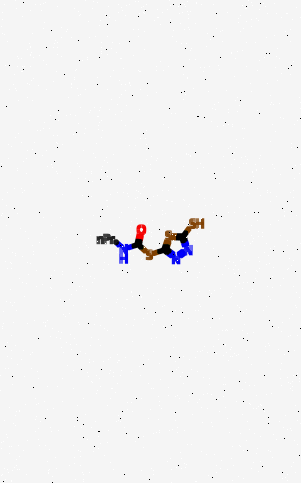 CCCNC(=O)Sc1nnc(S)s1